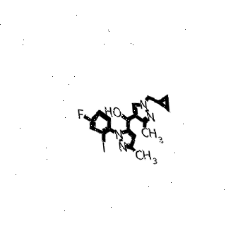 Cc1cc(C(O)c2cn(CC3CC3)nc2C)n(-c2ccc(F)cc2I)n1